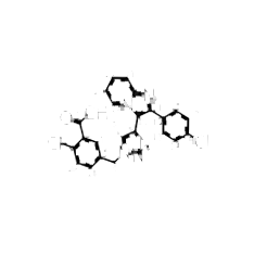 CC(=O)c1cc(Cn2cc(-c3c(-c4ccc(Cl)cc4)nc4ccccn34)nn2)ccc1Cl